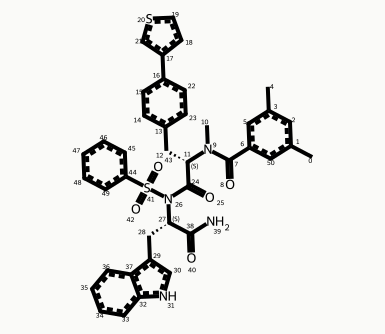 Cc1cc(C)cc(C(=O)N(C)[C@@H](Cc2ccc(-c3ccsc3)cc2)C(=O)N([C@@H](Cc2c[nH]c3ccccc23)C(N)=O)S(=O)(=O)c2ccccc2)c1